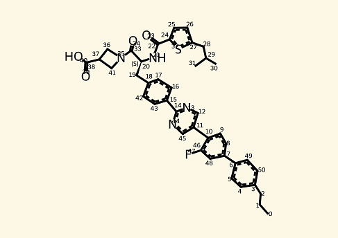 CCCc1ccc(-c2ccc(-c3cnc(-c4ccc(C[C@H](NC(=O)c5ccc(CC(C)C)s5)C(=O)N5CC(C(=O)O)C5)cc4)nc3)c(F)c2)cc1